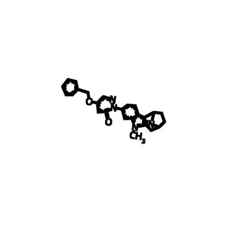 Cn1c2c(c3ccc(-n4ncc(OCc5ccccc5)cc4=O)cc31)C1CCC(C2)N1